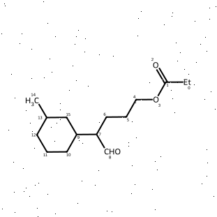 CCC(=O)OCCCC(C=O)C1CCCC(C)C1